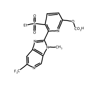 CCS(=O)(=O)c1ccc(OC(=O)O)nc1-c1nc2cc(C(F)(F)F)ncc2n1C